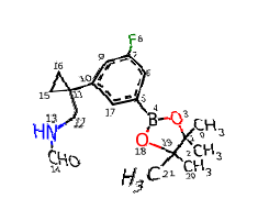 CC1(C)OB(c2cc(F)cc(C3(CNC=O)CC3)c2)OC1(C)C